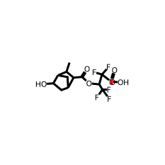 CC1C2CC(CC2O)C1C(=O)OC(C(F)(F)F)C(F)(F)S(=O)(=O)O